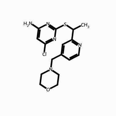 CC(Sc1nc(N)cc(Cl)n1)c1cc(CN2CCOCC2)ccn1